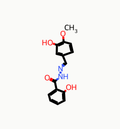 COc1ccc(C=NNC(=O)c2ccccc2O)cc1O